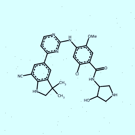 COc1cc(C(=O)NC2CNCC2O)c(Cl)cc1Nc1nccc(-c2cc(C#N)c3c(c2)C(C)(C)CN3)n1